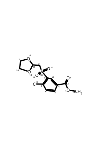 COC(=O)c1ccc(Cl)c(S(=O)(=O)CC2OCCO2)c1